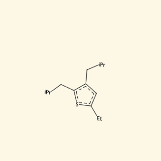 CCc1cc(CC(C)C)c(CC(C)C)s1